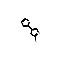 BrC1=NC=C(c2cccs2)[N]1